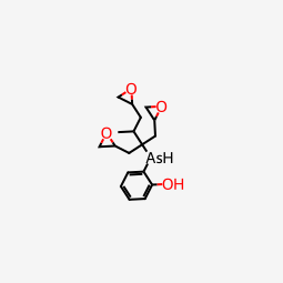 CC(CC1CO1)C(CC1CO1)(CC1CO1)[AsH]c1ccccc1O